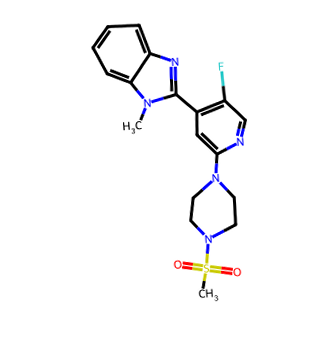 Cn1c(-c2cc(N3CCN(S(C)(=O)=O)CC3)ncc2F)nc2ccccc21